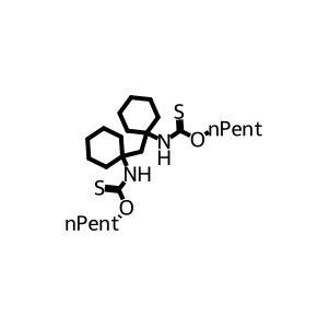 CCCCCOC(=S)NC1(CC2(NC(=S)OCCCCC)CCCCC2)CCCCC1